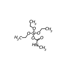 CCO[Si](OCC)(OCC)OC(=O)NC